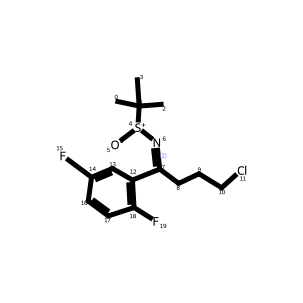 CC(C)(C)[S+]([O-])/N=C(/CCCCl)c1cc(F)ccc1F